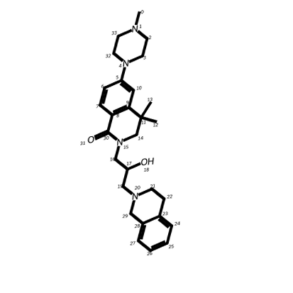 CN1CCN(c2ccc3c(c2)C(C)(C)CN(CC(O)CN2CCc4ccccc4C2)C3=O)CC1